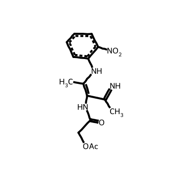 CC(=N)/C(NC(=O)COC(C)=O)=C(/C)Nc1ccccc1[N+](=O)[O-]